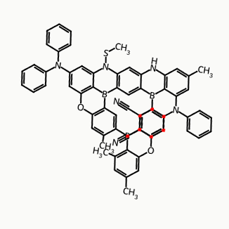 CSN1c2cc3c(cc2B2c4cc(B5c6c(C)cc(C)cc6Oc6cccc(C#N)c65)c(C)cc4Oc4cc(N(c5ccccc5)c5ccccc5)cc1c42)B1c2cc(C#N)ccc2N(c2ccccc2)c2cc(C)cc(c21)N3